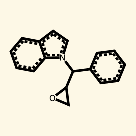 c1ccc(C(C2CO2)n2ccc3ccccc32)cc1